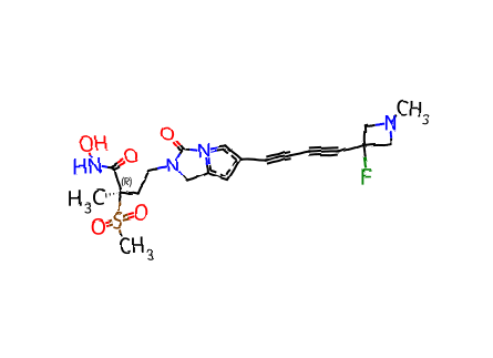 CN1CC(F)(C#CC#Cc2cc3n(c2)C(=O)N(CC[C@](C)(C(=O)NO)S(C)(=O)=O)C3)C1